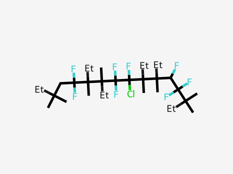 CCC(C)(C)CC(F)(F)C(C)(CC)C(C)(CC)C(F)(F)C(F)(Cl)C(C)(CC)C(C)(CC)C(F)C(F)(F)C(C)(C)CC